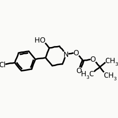 CC(C)(C)OC(=O)ON1CCC(c2ccc(Cl)cc2)C(O)C1